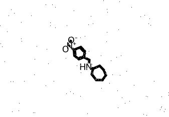 O=[N+]([O-])c1ccc(CNC2CCCCCC2)cc1